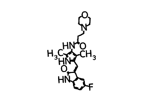 Cc1[nH]c(/C=C2\C(=O)Nc3ccc(F)cc32)c(C)c1NC(=O)CCN1CCOCC1